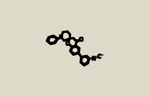 [C-]#[N+]c1cccc(-c2ccc3c(c2)C(=O)CC2(CCCN(c4ccccc4)C2)O3)c1